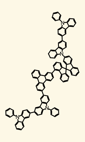 C1=c2c(n(-c3ccc4c(c3)C3(c5ccccc5-4)c4ccccc4-c4c(-c5ccc6c7cc(-c8ccc9c(c8)c8cc(-c%10ccc%11c(c%10)c%10ccccc%10n%11-c%10ccccc%10)ccc8n9-c8ccccc8)ccc7c7ccccc7c6c5)cccc43)c3ccc(-c4ccc5c(c4)c4ccccc4n5-c4ccccc4)cc23)=CCC1